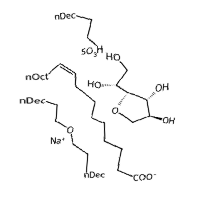 CCCCCCCC/C=C\CCCCCCCC(=O)[O-].CCCCCCCCCCCCOCCCCCCCCCCCC.CCCCCCCCCCCCS(=O)(=O)O.OC[C@@H](O)[C@H]1OC[C@H](O)[C@H]1O.[Na+]